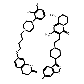 Cc1nc2n(c(=O)c1CCN1CCC(c3noc4cc(F)ccc34)CC1)CCC[C@H]2O.O=C1CCc2ccc(OCCCCN3CCN(c4cccc(Cl)c4Cl)CC3)cc2N1